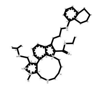 CCOC(=O)c1c(CCCOc2cccc3c2CCCC3)c2cccc3c2n1CCCCOCc1c-3c(COC(C)C)nn1C